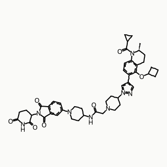 C[C@H]1CCc2c(ccc(-c3cnn(C4CCN(CC(=O)NC5CCN(c6ccc7c(c6)C(=O)N(C6CCC(=O)NC6=O)C7=O)CC5)CC4)c3)c2OC2CCC2)N1C(=O)C1CC1